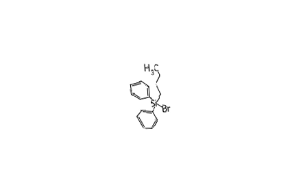 CCCC[Si](Br)(c1ccccc1)c1ccccc1